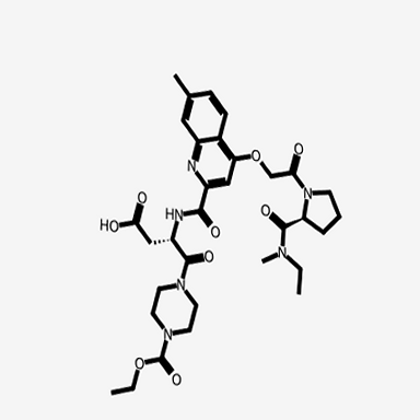 CCOC(=O)N1CCN(C(=O)[C@H](CC(=O)O)NC(=O)c2cc(OCC(=O)N3CCC[C@H]3C(=O)N(C)CC)c3ccc(C)cc3n2)CC1